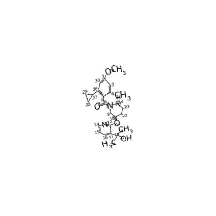 COc1ccc(C(=O)N2C[C@H](Oc3ncccc3C(C)(C)O)CC[C@H]2C)c(C2CC2)c1